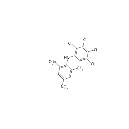 O=[N+]([O-])c1cc([N+](=O)[O-])c(Nc2cc(Cl)c(Cl)c(Cl)c2Cl)c(C(F)(F)F)c1